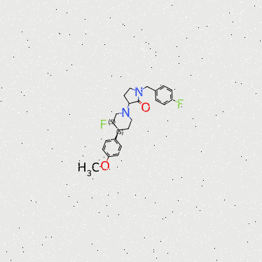 COc1ccc([C@@H]2CCN(C3CCN(Cc4ccc(F)cc4)C3=O)C[C@H]2F)cc1